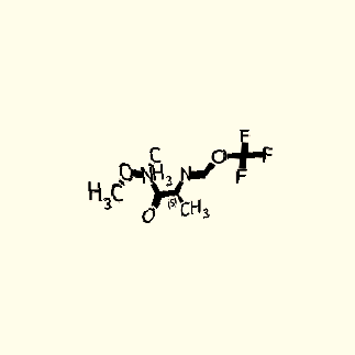 CON(C)C(=O)[C@H](C)N=COC(F)(F)F